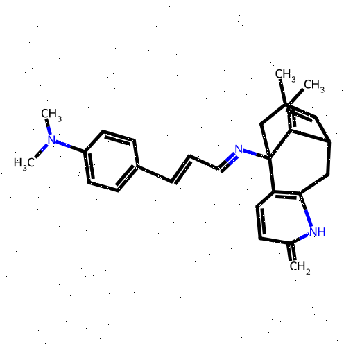 C=C1C=CC2=C(CC3C=C(C)CC2(N=C/C=C/c2ccc(N(C)C)cc2)/C3=C/C)N1